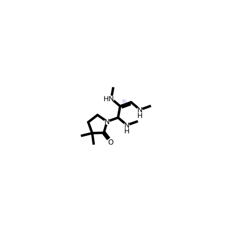 CN/C=C(/NC)C(NC)N1CCC(C)(C)C1=O